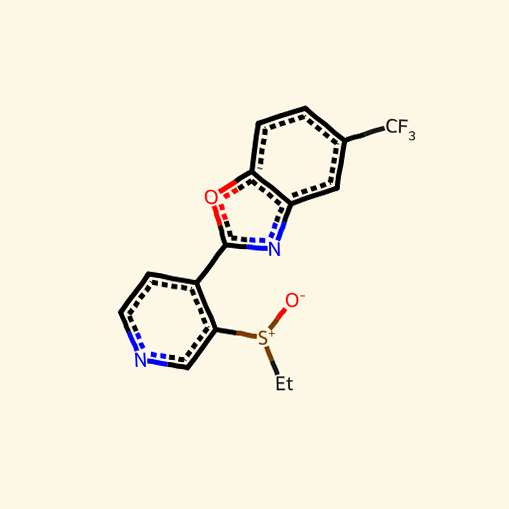 CC[S+]([O-])c1cnccc1-c1nc2cc(C(F)(F)F)ccc2o1